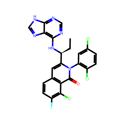 CC[C@H](Nc1ncnc2[nH]cnc12)c1cc2ccc(F)c(Cl)c2c(=O)n1-c1cc(Cl)ccc1Cl